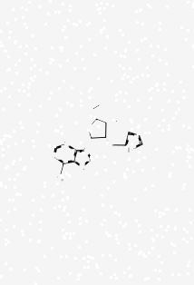 Nc1ncnc2c1ncn2[C@@H]1O[C@H](CO)[C@H](O)[C@H]1Oc1ccc[pH]1